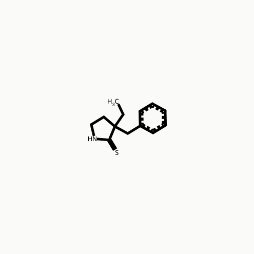 CCC1(Cc2ccccc2)CCNC1=S